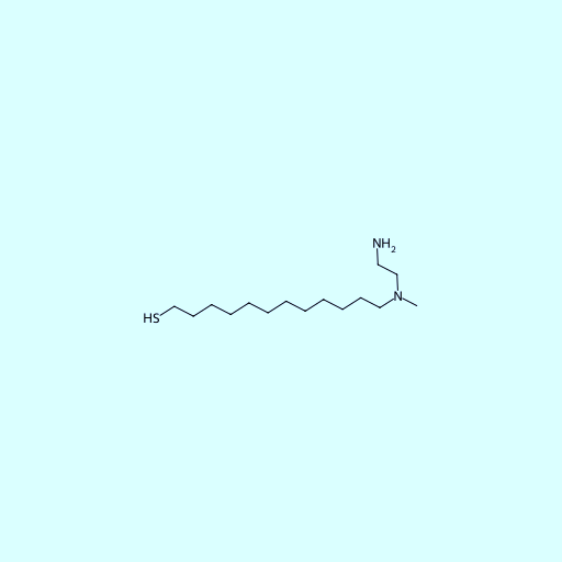 CN(CCN)CCCCCCCCCCCCS